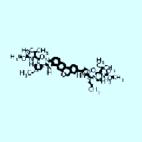 CCC[C@@H](c1ncc(-c2ccc3c(c2)COc2cc4c(ccc5nc([C@@H]6C[C@H](CC)CN6C(=O)[C@@H](NC(=O)OC)C(C)C)[nH]c54)cc2-3)[nH]1)N(CC)C(=O)[C@@H](NC(=O)OC)C(C)C